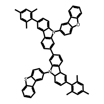 Cc1cc(C)c(C2=CC3c4ccc(-c5ccc6c7cc(-c8c(C)cc(C)cc8C)ccc7n(-c7ccc8oc9ccccc9c8c7)c6c5)cc4N(c4ccc5sc6ccccc6c5c4)C3C=C2)c(C)c1